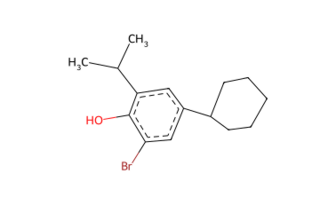 CC(C)c1cc(C2CCCCC2)cc(Br)c1O